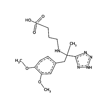 COc1ccc(CC(C)(NCCCS(=O)(=O)O)c2nn[nH]n2)cc1OC